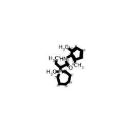 CCC(C(=O)Nc1c(C)cccc1C)[PH]1(C)CCCCCC1